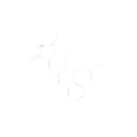 CCCC(/C=C1\SC(=S)NC1=O)=C\c1ccccc1OCC(=O)OC